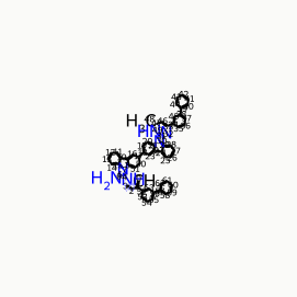 C=C(/C=C\NC(N)n1c2c(c3ccccc31)=CC(c1ccc3c(c1)c1ccccc1n3C1=NC(c3cccc(-c4ccccc4)c3)=CC(C)N1)CC=2)c1cccc(-c2ccccc2)c1